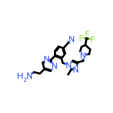 Cc1nc(CN2CCC(C(F)(F)F)CC2)cn1Cc1cc(C#N)ccc1-c1ncc(CCN)cn1